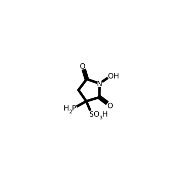 O=C1CC(P)(S(=O)(=O)O)C(=O)N1O